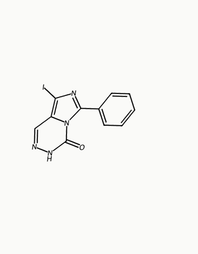 O=c1[nH]ncc2c(I)nc(-c3ccccc3)n12